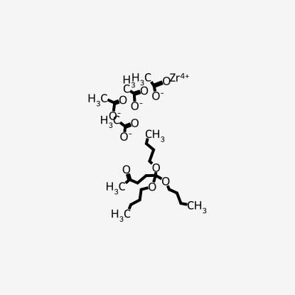 CC(=O)[O-].CC(=O)[O-].CC(=O)[O-].CC(=O)[O-].CCCCOC(CCC(C)=O)(OCCCC)OCCCC.[Zr+4]